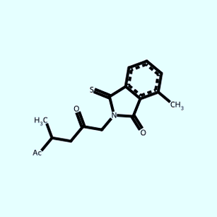 CC(=O)C(C)CC(=O)CN1C(=O)c2c(C)cccc2C1=S